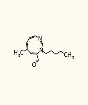 CCCCCn1cncccc(C)cc1C=O